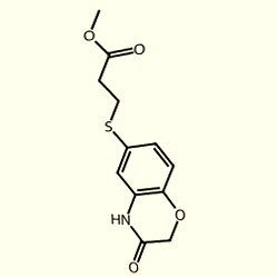 COC(=O)CCSc1ccc2c(c1)NC(=O)CO2